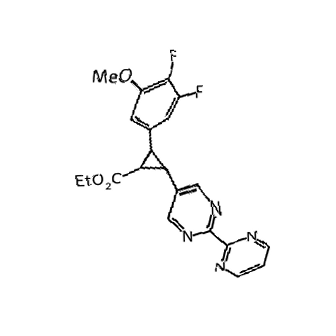 CCOC(=O)C1C(c2cnc(-c3ncccn3)nc2)C1c1cc(F)c(F)c(OC)c1